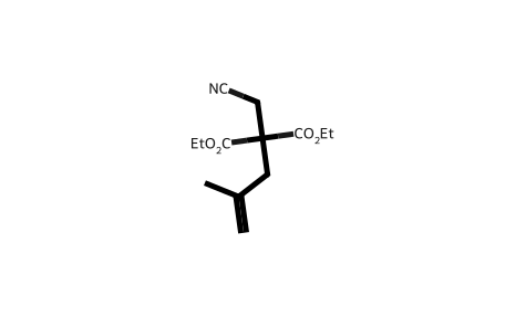 C=C(C)CC(CC#N)(C(=O)OCC)C(=O)OCC